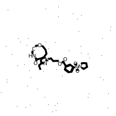 CCc1nn(CCCOC(=O)c2cccc(S(=O)(=O)N3CCCC3)c2)c2c1C(=O)NCCCOCCC2